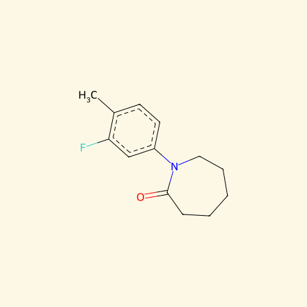 Cc1ccc(N2CCCCCC2=O)cc1F